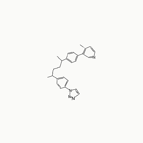 Cc1ccncc1-c1ccc(C(C)CCC(C)c2ccc(-n3ccnn3)cc2)cc1